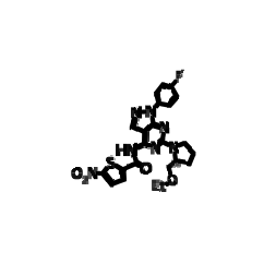 CCOC[C@@H]1CCCN1c1nc(NC(=O)c2ccc([N+](=O)[O-])s2)c2cnn(-c3ccc(F)cc3)c2n1